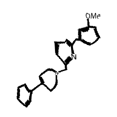 COc1cccc(-c2cccc(CN3CC=C(c4ccccc4)CC3)n2)c1